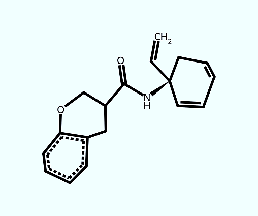 C=C[C@@]1(NC(=O)C2COc3ccccc3C2)C=CC=CC1